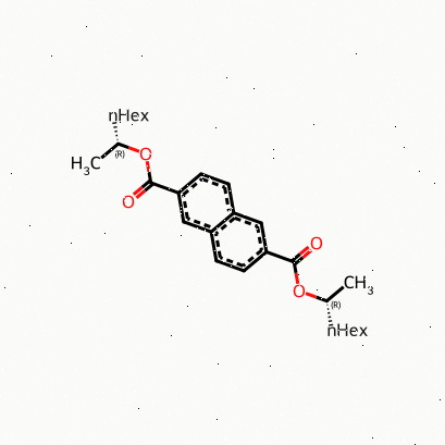 CCCCCC[C@@H](C)OC(=O)c1ccc2cc(C(=O)O[C@H](C)CCCCCC)ccc2c1